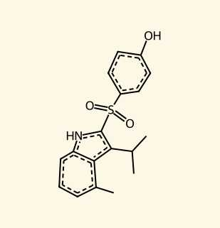 Cc1cccc2[nH]c(S(=O)(=O)c3ccc(O)cc3)c(C(C)C)c12